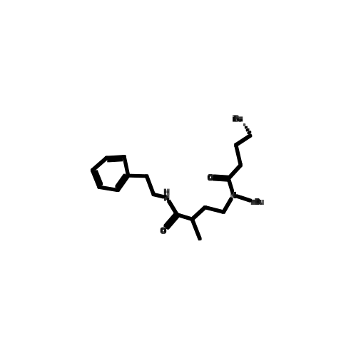 CCCCN(CCC(C)C(=O)NCCc1ccccc1)C(=O)CCC[C@@H](C)CC